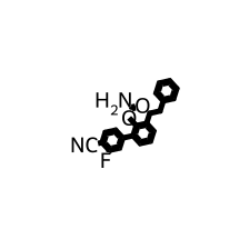 N#Cc1ccc(-c2cccc([CH]Cc3ccccc3)c2OC(N)=O)cc1F